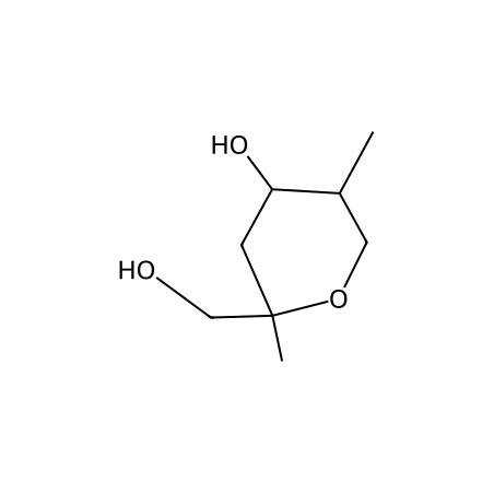 CC1COC(C)(CO)CC1O